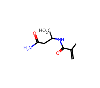 C=C(C)C(=O)NC(CC(N)=O)C(=O)O